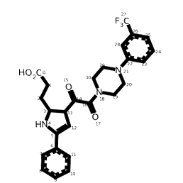 O=C(O)CCC1NC(c2ccccc2)=CC1C(=O)C(=O)N1CCN(c2cccc(C(F)(F)F)c2)CC1